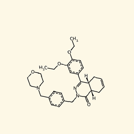 CCOc1ccc(C2=NN(Cc3ccc(CN4CCOCC4)cc3)C(=O)[C@H]3CC=CC[C@@H]23)cc1OCC